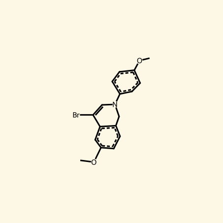 COc1ccc(N2C=C(Br)c3cc(OC)ccc3C2)cc1